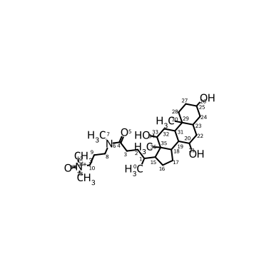 CC(CCC(=O)N(C)CCC[N+](C)(C)[O-])C1CCC2C3C(O)CC4CC(O)CCC4(C)C3CC(O)C12C